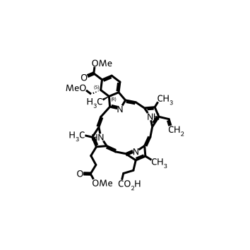 C=Cc1c(C)c2cc3nc(cc4[nH]c(cc5nc(cc1[nH]2)C(C)=C5CCC(=O)O)c(CCC(=O)OC)c4C)[C@@]1(C)C3=CC=C(C(=O)OC)[C@H]1COC